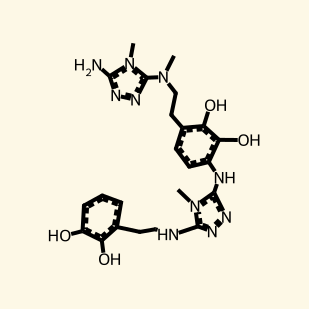 CN(CCc1ccc(Nc2nnc(NCCc3cccc(O)c3O)n2C)c(O)c1O)c1nnc(N)n1C